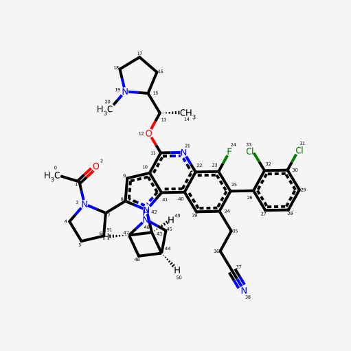 CC(=O)N1CCCC1c1cc2c(O[C@@H](C)C3CCCN3C)nc3c(F)c(-c4cccc(Cl)c4Cl)c(CCC#N)cc3c2n1[C@H]1[C@H]2CN[C@@H]1C2